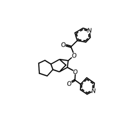 O=C(OC1C2CC(C3CCCCC32)C1OC(=O)c1ccncc1)c1ccncc1